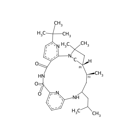 CC(C)CC1C[C@H](C)[C@@H]2CN(c3nc(C(C)(C)C)ccc3C(=O)NS(=O)(=O)c3cccc(n3)N1)C(C)(C)C2